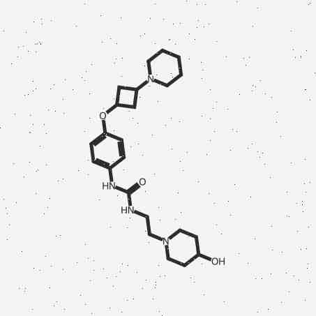 O=C(NCCN1CCC(O)CC1)Nc1ccc(OC2CC(N3CCCCC3)C2)cc1